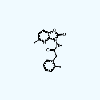 Cc1ccc2oc(=O)n(NC(=O)Cc3ccccc3C)c2n1